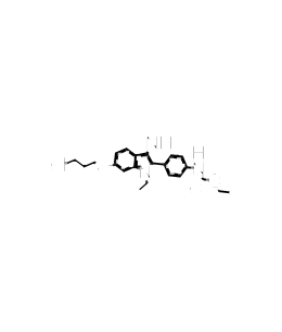 CCOC(=O)Nc1ccc(-c2c(N)c3ccc(OCCCCl)cc3n2CC)cc1